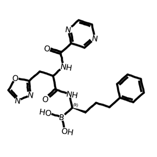 O=C(NC(Cc1nnco1)C(=O)N[C@@H](CCCc1ccccc1)B(O)O)c1cnccn1